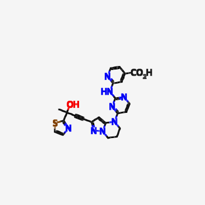 CC(O)(C#Cc1cc2n(n1)CCCN2c1ccnc(Nc2cc(C(=O)O)ccn2)n1)c1nccs1